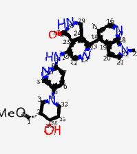 COC[C@@H]1CN(c2ccc(Nc3cnc(-c4ccnc5c4ccn5C)c4c3C(=O)NC4)nc2)CC[C@@H]1O